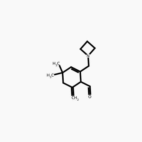 C=C1CC(C)(C)C=C(CN2CCC2)C1C=O